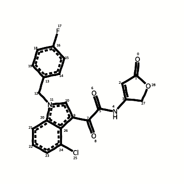 O=C1C=C(NC(=O)C(=O)c2cn(Cc3ccc(F)cc3)c3cccc(Cl)c23)CO1